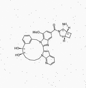 COc1cc(C(=O)N2C[C@H]3CC[C@H]3[C@H]2N)cc2nc3n(c12)Cc1cccc(c1)[C@H](O)[C@H](O)CCCCn1c-3cc2cccnc21